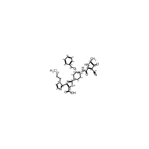 COCCn1ccnc1-c1nc(N2CC[C@@H](NC(=O)c3[nH]c(C)c(Cl)c3C#N)[C@@H](OCc3ccccc3)C2)sc1C(=O)O